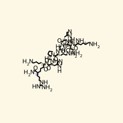 N=C(N)NCC/C=C(\CCC(=O)[C@H](CCCCN)NC(=O)[C@H](Cc1cnc[nH]1)NC(=O)[C@@H]1CCCN1C(=O)[C@@H](CCCN)NC(=O)CNC(=O)[C@H](Cc1cnc[nH]1)NC(=O)[C@@H](NC(=O)[C@@H](N)CCCCN)[C@@H](O)CN)C(N)=O